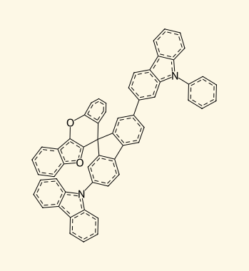 c1ccc(-n2c3ccccc3c3ccc(-c4ccc5c(c4)C4(c6ccccc6Oc6c4oc4ccccc64)c4cc(-n6c7ccccc7c7ccccc76)ccc4-5)cc32)cc1